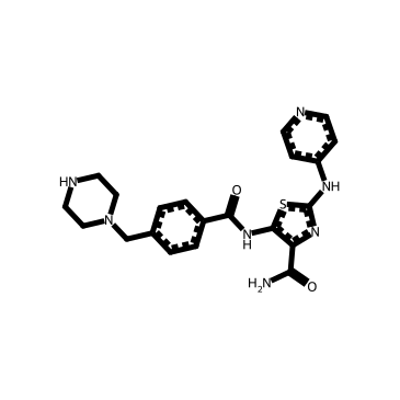 NC(=O)c1nc(Nc2ccncc2)sc1NC(=O)c1ccc(CN2CCNCC2)cc1